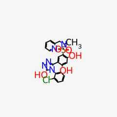 CN(Cc1ccccn1)S(=O)(=O)c1cc(-c2nnc(O)n2-c2ccccc2Cl)c(O)cc1O